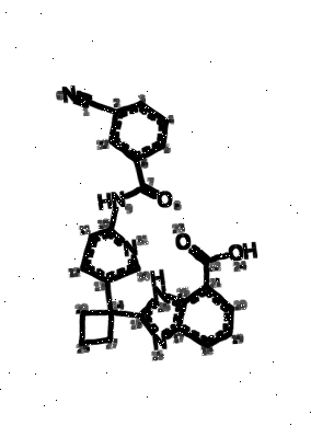 N#Cc1cccc(C(=O)Nc2ccc(C3(c4nc5cccc(C(=O)O)c5[nH]4)CCC3)cn2)c1